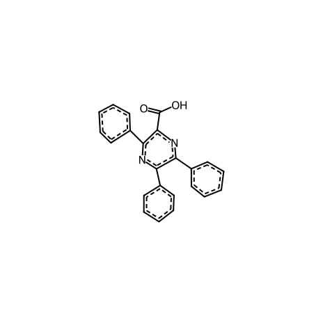 O=C(O)c1nc(-c2ccccc2)c(-c2ccccc2)nc1-c1ccccc1